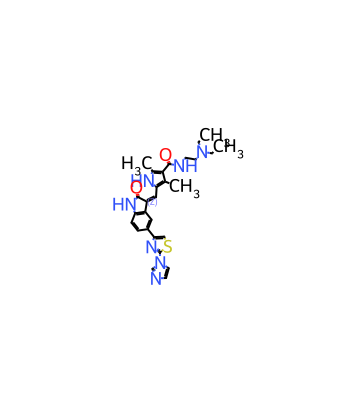 CCN(CC)CCNC(=O)c1c(C)[nH]c(/C=C2\C(=O)Nc3ccc(-c4csc(-n5ccnc5)n4)cc32)c1C